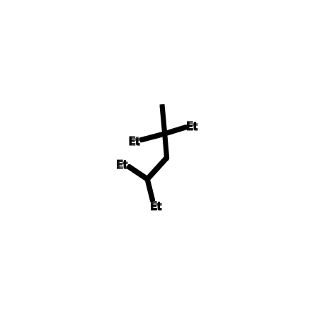 [CH2]CC(C)(CC)CC(CC)CC